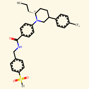 CCS(=O)(=O)c1ccc(CNC(=O)c2ccc(N3CC(c4ccc(C(F)(F)F)cc4)CC[C@H]3CCC#N)cc2)cc1